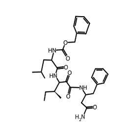 CC[C@H](C)C(NC(=O)C(CC(C)C)NC(=O)OCc1ccccc1)C(=O)C(=O)NC(CC(N)=O)Cc1ccccc1